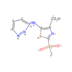 CS(=O)(=O)c1nc(C(=O)O)c(Nc2cccnn2)s1